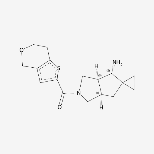 N[C@H]1[C@@H]2CN(C(=O)c3cc4c(s3)CCOC4)C[C@@H]2CC12CC2